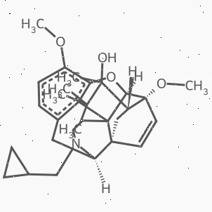 COc1ccc2c3c1O[C@@H]1C34CCN(CC3CC3)[C@H](C2)[C@]42C=C[C@@]1(OC)[C@@H](C(C)(O)C(C)(C)C)C2